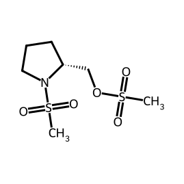 CS(=O)(=O)OC[C@H]1CCCN1S(C)(=O)=O